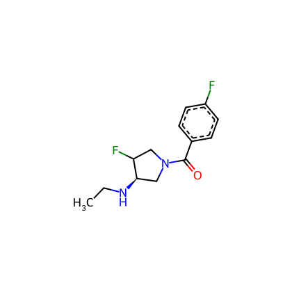 CCN[C@@H]1CN(C(=O)c2ccc(F)cc2)CC1F